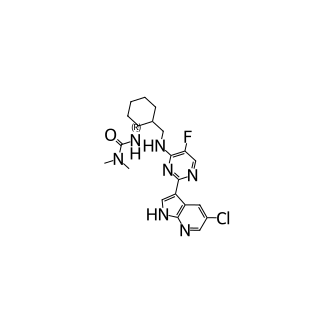 CN(C)C(=O)N[C@@H]1CCCCC1CNc1nc(-c2c[nH]c3ncc(Cl)cc23)ncc1F